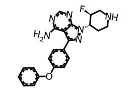 Nc1ncnc2c1c(-c1ccc(Oc3ccccc3)cc1)nn2[C@H]1CCNC[C@@H]1F